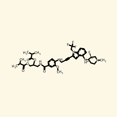 COc1cc(C(=O)NCC(COC(=O)C(C)C)OC(=O)C(C)C)ccc1NCC#Cc1cc2c(N[C@@H]3CCN(C)C[C@@H]3F)cccc2n1CC(F)(F)F